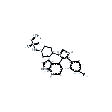 C=CS(=O)(=O)N[C@H]1CC[C@@H](n2cnc(-c3ccc(F)cc3)c2-c2ccnc3[nH]ccc23)CC1